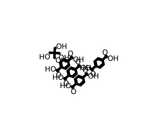 O=C(O)c1ccc(C(=O)O)cc1.O=C(O)c1ccc(C(=O)O)cc1.O=C(O)c1ccc(C(=O)O)cc1.O=C(O)c1ccc(C(=O)O)cc1.OCC(CO)(CO)CO